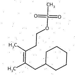 CC(CCOS(C)(=O)=O)=C(C)CC1CCCCC1